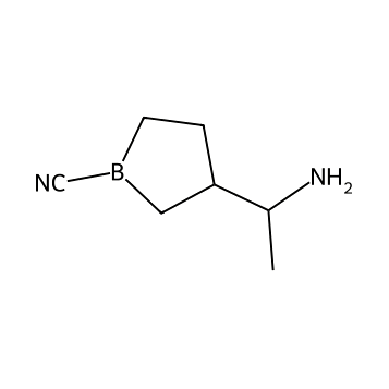 CC(N)C1CCB(C#N)C1